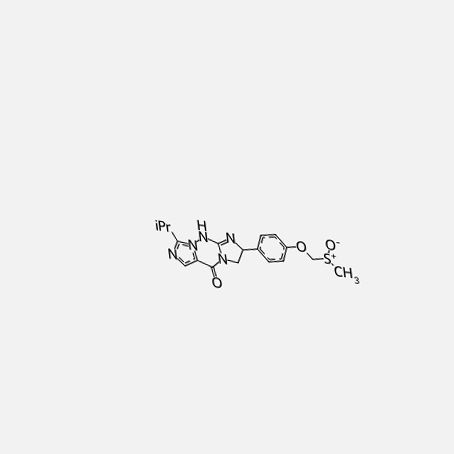 CC(C)c1ncc2n1NC1=NC(c3ccc(OC[S+](C)[O-])cc3)CN1C2=O